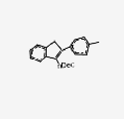 CCCCCCCCCCC1=C(c2ccc(C)cc2)[CH]c2ccccc21